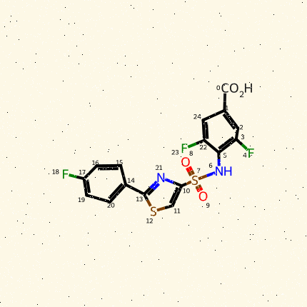 O=C(O)c1cc(F)c(NS(=O)(=O)c2csc(-c3ccc(F)cc3)n2)c(F)c1